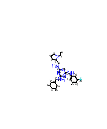 CCN1CCCC1CNc1nc(NCC2CCCCC2)nc(Nc2cc[c]c(F)c2)n1